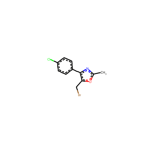 Cc1nc(-c2ccc(Cl)cc2)c(CBr)o1